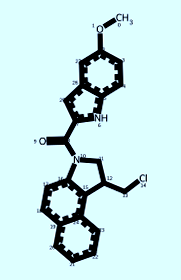 COc1ccc2[nH]c(C(=O)N3CC(CCl)c4c3ccc3ccccc43)cc2c1